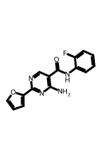 Nc1nc(-c2ccco2)ncc1C(=O)Nc1ccccc1F